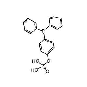 O=P(O)(O)Oc1ccc(P(c2ccccc2)c2ccccc2)cc1